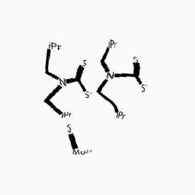 CC(C)CN(CC(C)C)C(=S)[S-].CC(C)CN(CC(C)C)C(=S)[S-].[S]=[Mo+2]